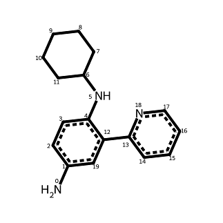 Nc1ccc(NC2CCCCC2)c(-c2ccccn2)c1